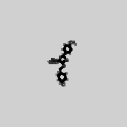 Cc1ccc(-c2nc(OCc3ccc(Cl)cc3)c(C(=O)[O-])s2)cc1.[Na+]